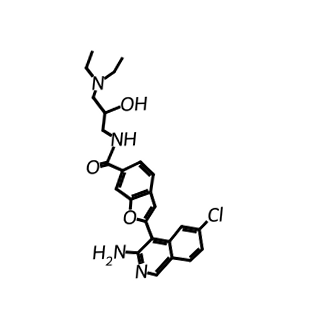 CCN(CC)CC(O)CNC(=O)c1ccc2cc(-c3c(N)ncc4ccc(Cl)cc34)oc2c1